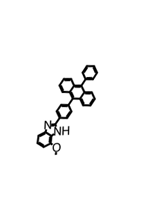 COc1cccc2nc(-c3ccc(-c4c5ccccc5c(-c5ccccc5)c5ccccc45)cc3)[nH]c12